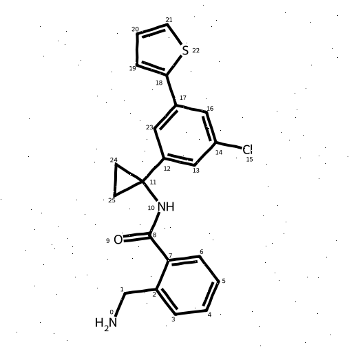 NCc1ccccc1C(=O)NC1(c2cc(Cl)cc(-c3cccs3)c2)CC1